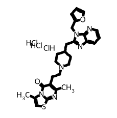 Cc1nc2scc(C)n2c(=O)c1CCN1CCC(Cc2nc3cccnc3n2Cc2ccco2)CC1.Cl.Cl.Cl